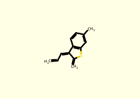 C=C/C=c1\c(=C)sc2cc(C)ccc12